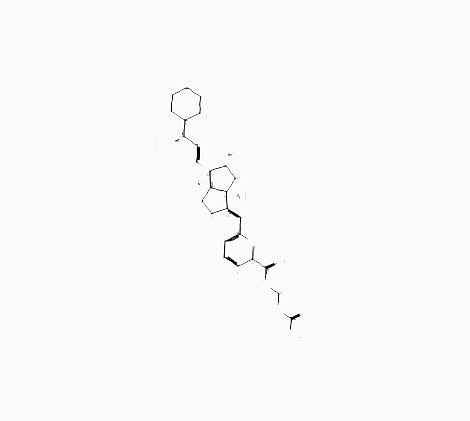 CC(C)(C)C(=O)OCOC(=O)C1C=CC=C(C=C2CC[C@H]3[C@@H](/C=C/[C@@H](O)C4CCCCC4)[C@H](O)C[C@@H]23)O1